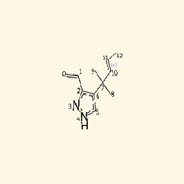 C=Cc1n[nH]cc1C(C)(C)/C=C/C